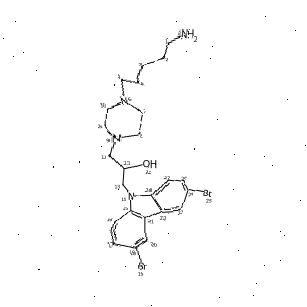 NCCCCCN1CCN(CC(O)Cn2c3ccc(Br)cc3c3cc(Br)ccc32)CC1